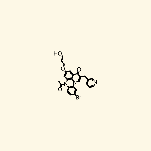 CC(=O)N1c2ccc(Br)cc2-n2cc(Cc3cccnc3)c(=O)c3cc(OCCCO)cc1c32